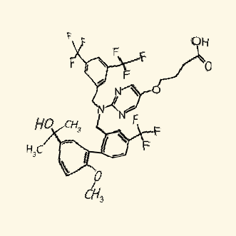 COc1ccc(C(C)(C)O)cc1-c1ccc(C(F)(F)F)cc1CN(Cc1cc(C(F)(F)F)cc(C(F)(F)F)c1)c1ncc(OCCCC(=O)O)cn1